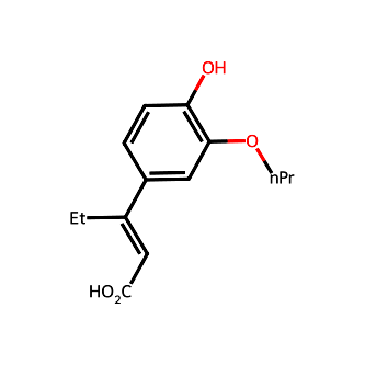 CCCOc1cc(C(=CC(=O)O)CC)ccc1O